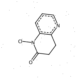 O=C1CCc2ncccc2N1Cl